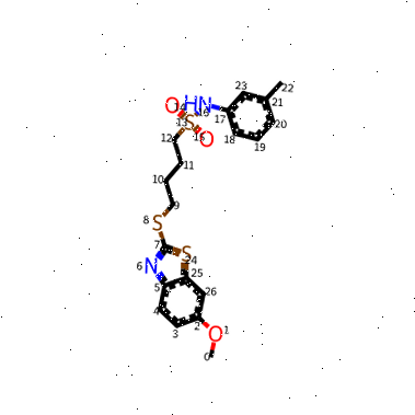 COc1ccc2nc(SCCCCS(=O)(=O)Nc3cccc(C)c3)sc2c1